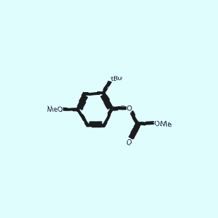 COC(=O)Oc1ccc(OC)cc1C(C)(C)C